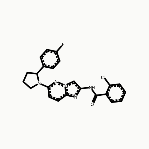 O=C(Nc1cn2nc(N3CCCC3c3ccc(F)cc3)ccc2n1)c1ccccc1Cl